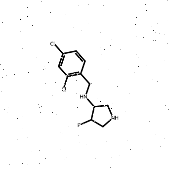 FC1CNCC1NCc1ccc(Cl)cc1Cl